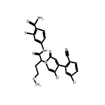 COCCC(C(=O)Nc1ccc(C(N)=O)c(F)c1)n1cc(Cl)c(-c2cc(Cl)ccc2C#N)cc1=O